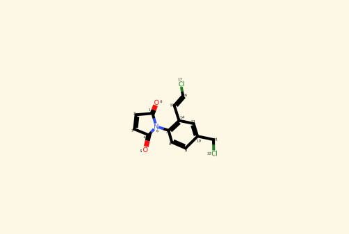 O=C1C=CC(=O)N1c1ccc(CCl)cc1C=CCl